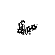 COc1cccc(N2CCN(C(C)C)CC2)c1NC(=O)N1CCC(c2ccc(C)cc2)CC1